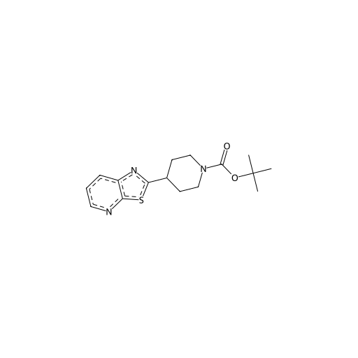 CC(C)(C)OC(=O)N1CCC(c2nc3cccnc3s2)CC1